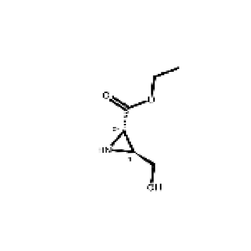 CCOC(=O)[C@H]1N[C@@H]1CO